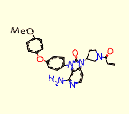 C=CC(=O)N1CC[C@@H](n2c(=O)n(-c3ccc(Oc4ccc(OC)cc4)cc3)c3c(N)nccc32)C1